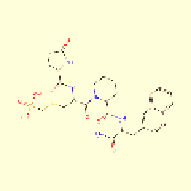 NC(=O)C(Cc1ccc2ccccc2c1)NC(=O)C1CCCCN1C(=O)C(CSCP(=O)(O)O)NC(=O)C1CCC(=O)N1